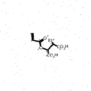 C=CC(=O)OC(C(=O)O)C(CC)C(=O)O